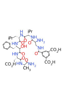 CC(C)C[C@H](NC(=O)[C@@H](NC(=O)[C@@H](N)CNC(=O)c1cc(C(=O)O)cc(C(=O)O)c1)C(C)C)C(=O)N[C@@H](Cc1ccccc1)[C@@H](O)C(=O)N[C@@H](CC(=O)O)C(=O)N[C@@H](C)C(N)=O